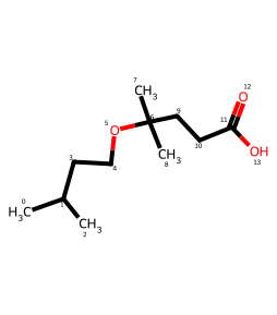 CC(C)CCOC(C)(C)CCC(=O)O